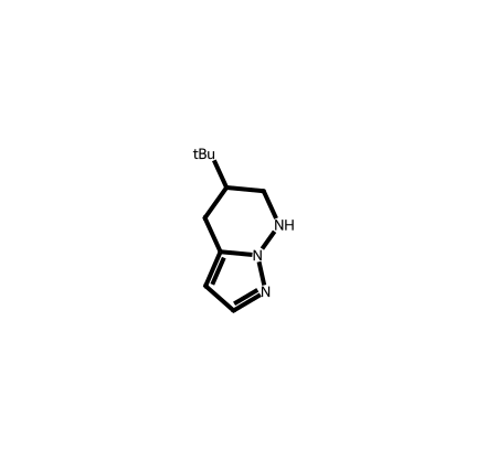 CC(C)(C)C1CNn2nccc2C1